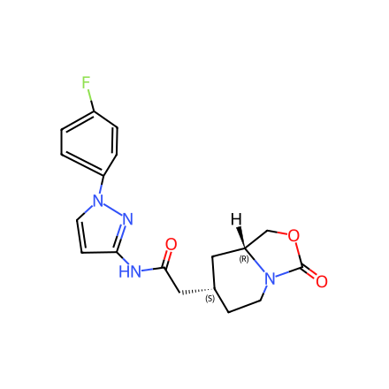 O=C(C[C@H]1CCN2C(=O)OC[C@H]2C1)Nc1ccn(-c2ccc(F)cc2)n1